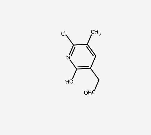 Cc1cc(CC=O)c(O)nc1Cl